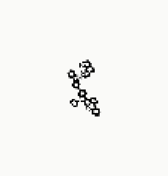 c1ccc(-n2c3cc(-c4ccc5c6ccccc6n(-c6ccc7ccc8cccnc8c7n6)c5c4)ccc3c3c4cccc5c4c(cc32)Oc2ccccc2-5)cc1